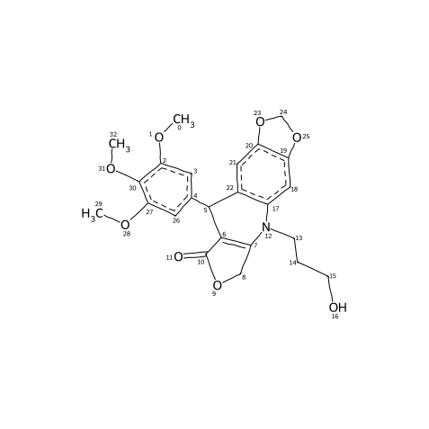 COc1cc(C2C3=C(COC3=O)N(CCCO)c3cc4c(cc32)OCO4)cc(OC)c1OC